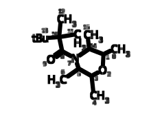 CC1OC(C)C(C)N(C(=O)C(C)(C)C(C)(C)C)C1C